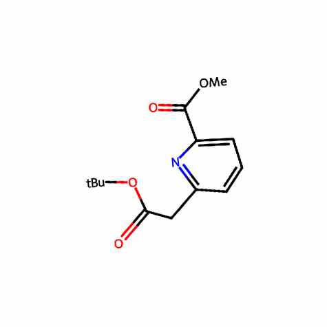 COC(=O)c1cccc(CC(=O)OC(C)(C)C)n1